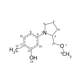 COCC1CCCN1c1ccc(C)c(O)c1